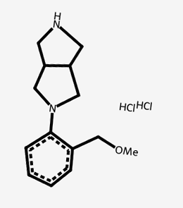 COCc1ccccc1N1CC2CNCC2C1.Cl.Cl